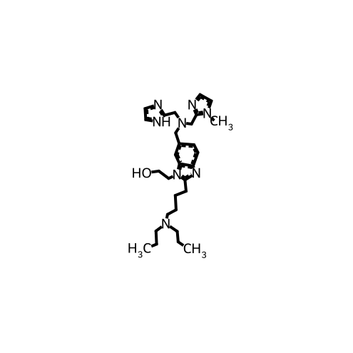 CCCN(CCC)CCCCc1nc2ccc(CN(Cc3ncc[nH]3)Cc3nccn3C)cc2n1CCO